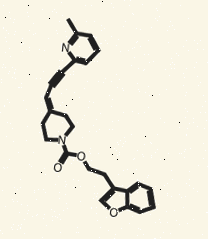 Cc1cccc(C#CC=C2CCN(C(=O)OCCc3coc4ccccc34)CC2)n1